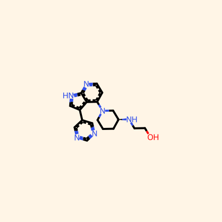 OCCN[C@H]1CCCN(c2ccnc3[nH]cc(-c4cncnc4)c23)C1